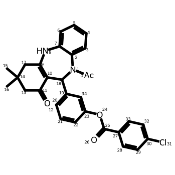 CC(=O)N1c2ccccc2NC2=C(C(=O)CC(C)(C)C2)C1c1cccc(OC(=O)c2ccc(Cl)cc2)c1